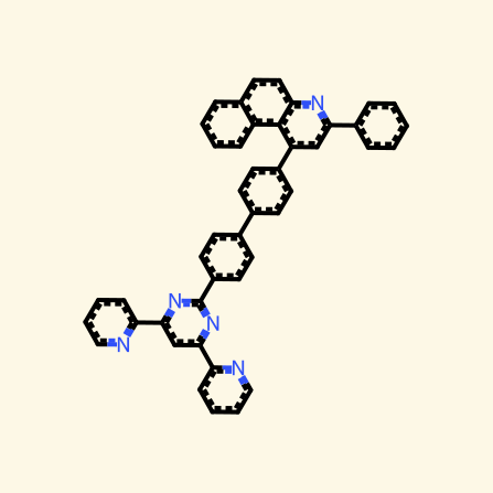 c1ccc(-c2cc(-c3ccc(-c4ccc(-c5nc(-c6ccccn6)cc(-c6ccccn6)n5)cc4)cc3)c3c(ccc4ccccc43)n2)cc1